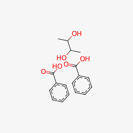 CC(O)C(C)O.O=C(O)c1ccccc1.O=C(O)c1ccccc1